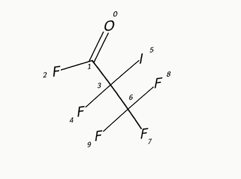 O=C(F)C(F)(I)C(F)(F)F